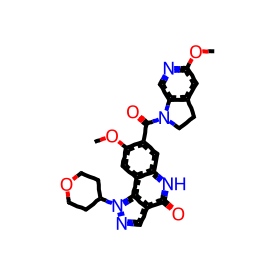 COc1cc2c(cn1)N(C(=O)c1cc3[nH]c(=O)c4cnn(C5CCOCC5)c4c3cc1OC)CC2